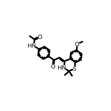 COc1ccc2c(c1)C(=CC(=O)c1ccc(NC(C)=O)cc1)NC(C)(C)S2